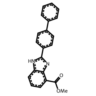 COC(=O)c1cccc2[nH]c(-c3ccc(-c4ccccc4)cc3)nc12